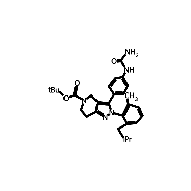 Cc1cccc(CC(C)C)c1-n1nc2c(c1-c1ccc(NC(N)=O)cc1)CN(C(=O)OC(C)(C)C)CC2